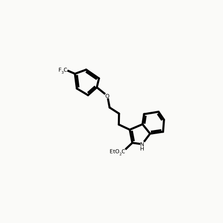 CCOC(=O)c1[nH]c2ccccc2c1CCCOc1ccc(C(F)(F)F)cc1